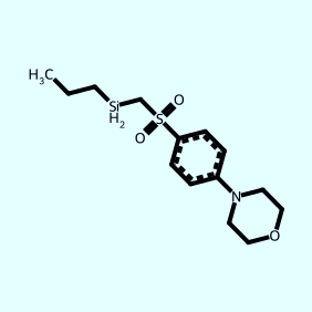 CCC[SiH2]CS(=O)(=O)c1ccc(N2CCOCC2)cc1